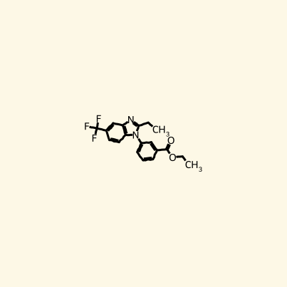 CCOC(=O)c1cccc(-n2c(CC)nc3cc(C(F)(F)F)ccc32)c1